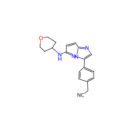 N#CCc1ccc(-c2cnc3ccc(NC4CCOCC4)nn23)cc1